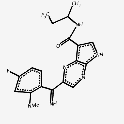 CNc1cc(F)ccc1C(=N)c1cnc2[nH]cc(C(=O)NC(C)CC(F)(F)F)c2n1